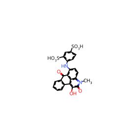 Cn1c(=O)c(O)c2c3c(c(Nc4ccc(S(=O)(=O)O)cc4S(=O)(=O)O)ccc31)C(=O)c1ccccc1-2